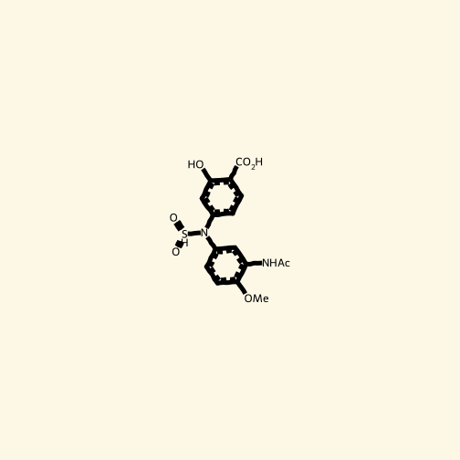 COc1ccc(N(c2ccc(C(=O)O)c(O)c2)[SH](=O)=O)cc1NC(C)=O